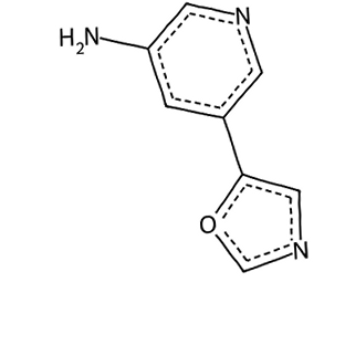 Nc1cncc(-c2cnco2)c1